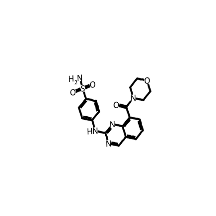 NS(=O)(=O)c1ccc(Nc2ncc3cccc(C(=O)N4CCOCC4)c3n2)cc1